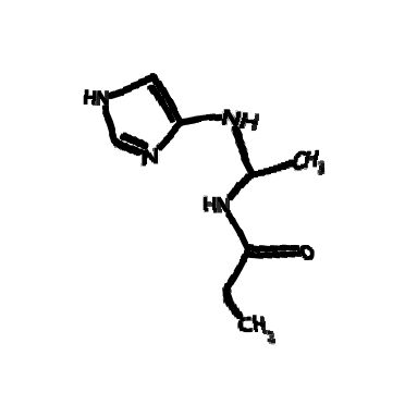 CCC(=O)NC(C)Nc1c[nH]cn1